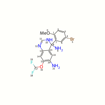 COc1ccc(Br)cc1C1(N)NC=Nc2cc(OC(F)F)c(N)cc21